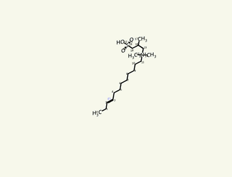 CC/C=C/CCCCCCCC[N+](C)(C)CC(C)CS(=O)(=O)O